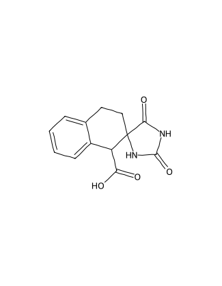 O=C1NC(=O)C2(CCc3ccccc3C2C(=O)O)N1